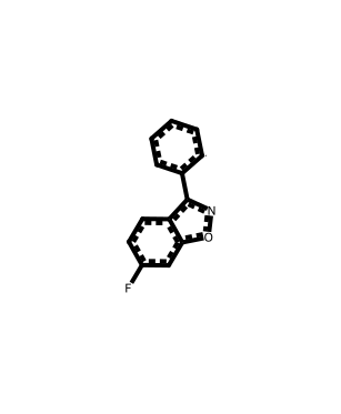 Fc1ccc2c(-c3[c]cccc3)noc2c1